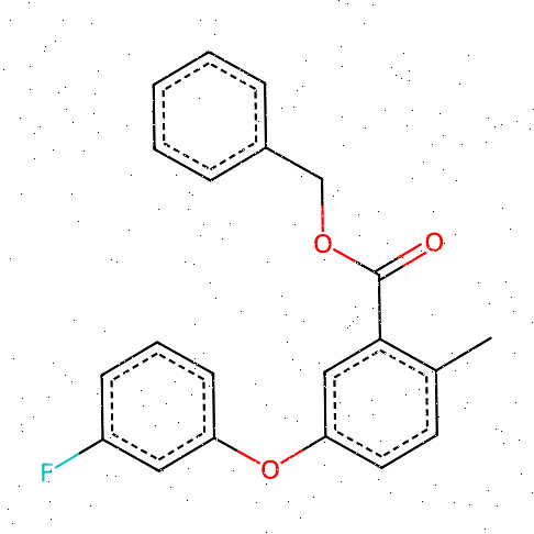 Cc1ccc(Oc2cccc(F)c2)cc1C(=O)OCc1ccccc1